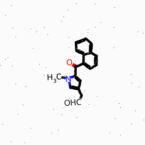 Cn1cc(CC=O)cc1C(=O)c1cccc2ccccc12